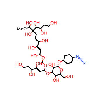 CO[C@@H](O)C(O)(CC[C@@H](O)/C(O)=C/[C@H](O)OCO[C@@H](/C=C(\O)[C@H](O)CCO)OC1C(O)[C@H](OC2CCC(N=[N+]=[N-])CC2)OC(CO)[C@H]1O)C(O)[C@H](O)CCO